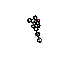 c1ccc(-c2ccc(-c3ccc4c5c(ccc4c3)-c3c(c4ccccc4c4ccccc34)C53c4ccccc4-c4ccccc43)cn2)nc1